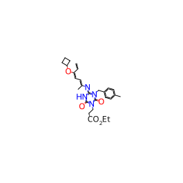 C=C\C(=C/C=C(C)/N=c1\[nH]c(=O)n(CCC(=O)OCC)c(=O)n1Cc1ccc(C)cc1)OC1CCC1